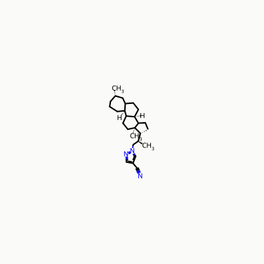 C[C@H]1CCC[C@H]2C(CC[C@@H]3C2CC[C@@]2(C)C3CC[C@@H]2[C@@H](C)Cn2cc(C#N)cn2)C1